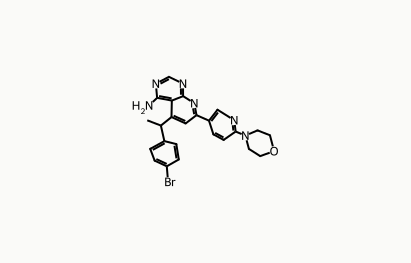 CC(c1ccc(Br)cc1)c1cc(-c2ccc(N3CCOCC3)nc2)nc2ncnc(N)c12